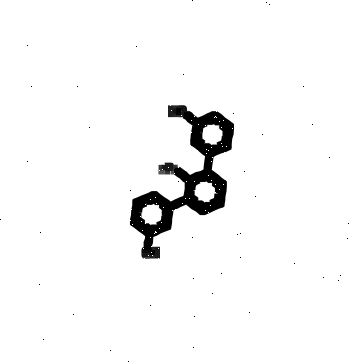 CCCc1c(-c2cccc(O)c2)cccc1-c1cccc(O)c1